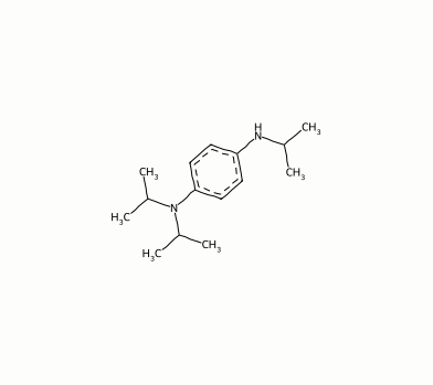 CC(C)Nc1ccc(N(C(C)C)C(C)C)cc1